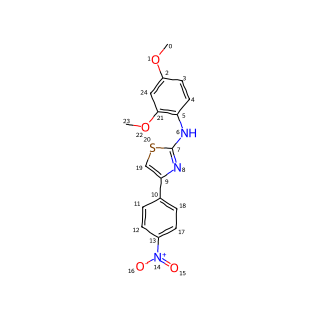 COc1ccc(Nc2nc(-c3ccc([N+](=O)[O-])cc3)cs2)c(OC)c1